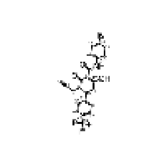 C#CCC1C(=O)C(C(=O)Nc2ccc(F)cc2)=C(O)CC1c1ccc(C(F)(F)F)cc1